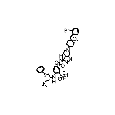 COC1(Cc2ccccc2Br)CCC(N2CCc3c(ncnc3NS(=O)(=O)c3ccc(N[C@H](CCN(C)C)CSc4ccccc4)c([S+]([O-])C(F)(F)F)c3)C2)CC1